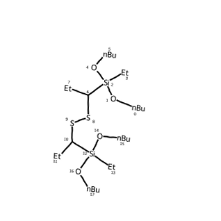 CCCCO[Si](CC)(OCCCC)C(CC)SSC(CC)[Si](CC)(OCCCC)OCCCC